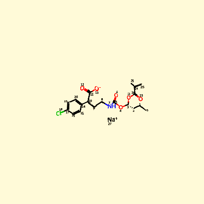 CCC[C@H](OC(=O)NCCC(C(=O)[O-])c1ccc(Cl)cc1)OC(=O)C(C)C.[Na+]